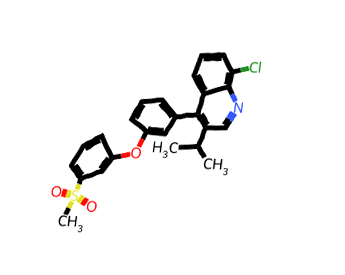 CC(C)c1cnc2c(Cl)cccc2c1-c1cccc(Oc2cccc(S(C)(=O)=O)c2)c1